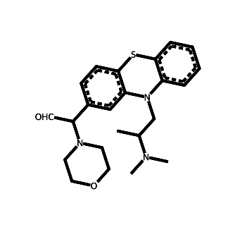 CC(CN1c2ccccc2Sc2ccc(C(C=O)N3CCOCC3)cc21)N(C)C